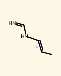 C/C=C/NC=N